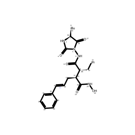 CC[C@H](C)[C@@H]1NC(=O)N(NC(=O)[C@H](CC(C)C)[C@H](C/C=C/c2ccccc2)C(=O)NO)C1=O